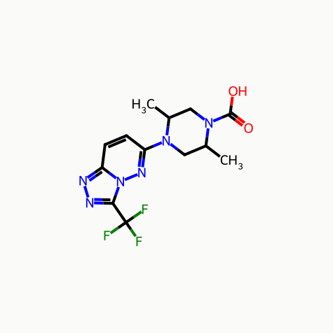 CC1CN(c2ccc3nnc(C(F)(F)F)n3n2)C(C)CN1C(=O)O